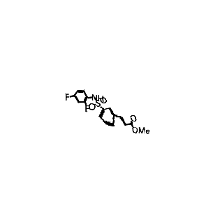 COC(=O)C=Cc1cccc(S(=O)(=O)Nc2ccc(F)cc2F)c1